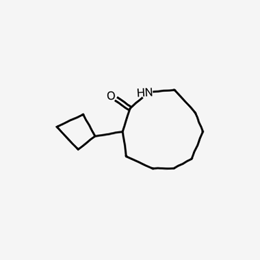 O=C1NCCCCCCCC1C1CCC1